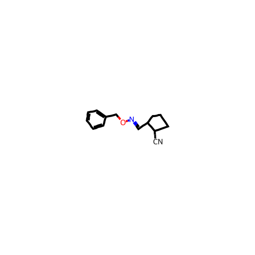 N#CC1CCCC1C=NOCc1ccccc1